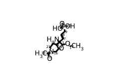 CCOC(=O)C(N)(C=CCP(=O)(O)O)C1CCN(C(C)=O)CC1